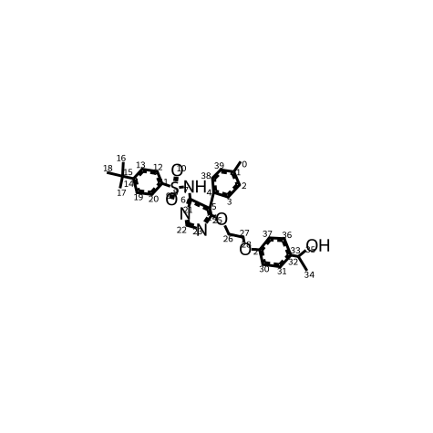 Cc1ccc(-c2c(NS(=O)(=O)c3ccc(C(C)(C)C)cc3)ncnc2OCCOc2ccc(C(C)O)cc2)cc1